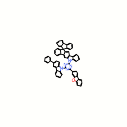 c1ccc(-c2ccc3c(c2)c2ccccc2n3-c2nc(-c3ccc4c(c3)oc3ccccc34)nc(-n3c4ccccc4c4cc5c(cc43)-c3ccccc3C53c4ccccc4-c4ccccc43)n2)cc1